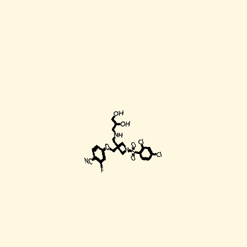 N#Cc1ccc(OCC2(CNCC(O)CO)CN(S(=O)(=O)c3ccc(Cl)cc3Cl)C2)cc1F